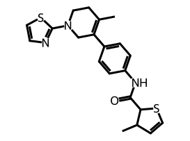 CC1=C(c2ccc(NC(=O)C3SC=CC3C)cc2)CN(c2nccs2)CC1